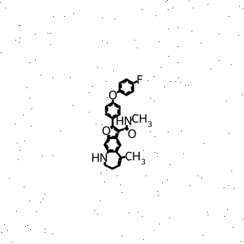 CNC(=O)c1c(-c2ccc(Oc3ccc(F)cc3)cc2)oc2cc3c(cc12)C(C)=CCCN3